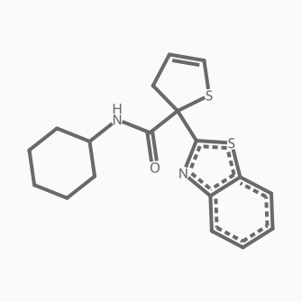 O=C(NC1CCCCC1)C1(c2nc3ccccc3s2)CC=CS1